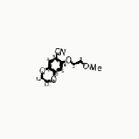 COCCOc1cc2c(cc1C#N)OCCO2